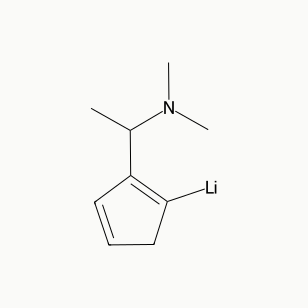 [Li][C]1=C(C(C)N(C)C)C=CC1